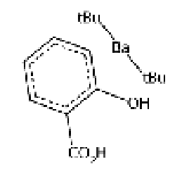 C[C](C)(C)[Ba][C](C)(C)C.O=C(O)c1ccccc1O